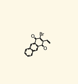 C=CC1=C(Br)C(=O)c2cc3ccccc3cc2C1=O